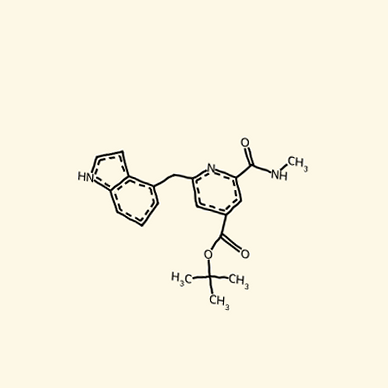 CNC(=O)c1cc(C(=O)OC(C)(C)C)cc(Cc2cccc3[nH]ccc23)n1